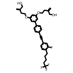 C=C(CO)CCOc1cc(OCCC(=C)CO)cc(-c2ccc(C#Cc3ccc(CCCCC(F)(F)F)c(F)c3)cc2)c1